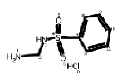 Cl.NCNS(=O)(=O)c1ccccc1